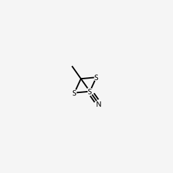 CC12SS1(#N)S2